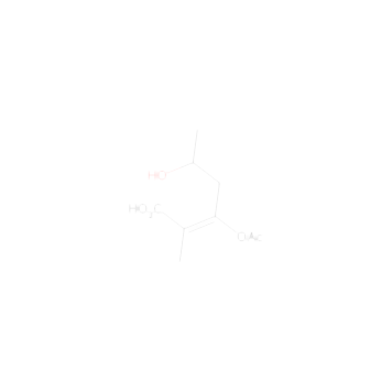 CC(=O)OC(CC(C)O)=C(C)C(=O)O